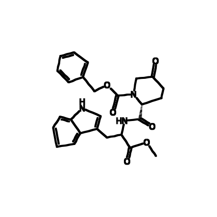 COC(=O)C(Cc1c[nH]c2ccccc12)NC(=O)[C@H]1CCC(=O)CN1C(=O)OCc1ccccc1